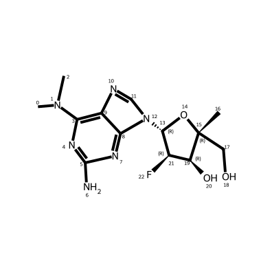 CN(C)c1nc(N)nc2c1ncn2[C@@H]1O[C@](C)(CO)[C@@H](O)[C@H]1F